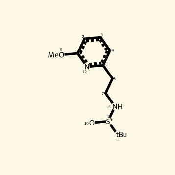 COc1cccc(CCN[S+]([O-])C(C)(C)C)n1